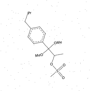 COC(OC)(c1ccc(CC(C)C)cc1)C(C)OS(C)(=O)=O